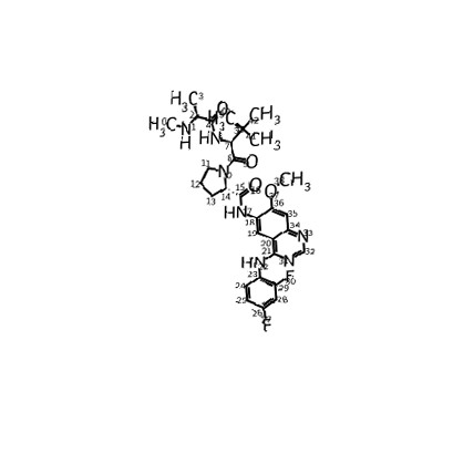 CN[C@@H](C)C(=O)N[C@H](C(=O)N1CCC[C@H]1C(=O)Nc1cc2c(Nc3ccc(F)cc3F)ncnc2cc1OC)C(C)(C)C